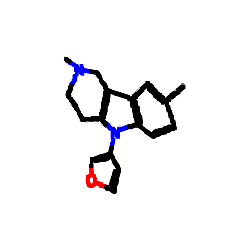 Cc1ccc2c(c1)c1c(n2-c2ccoc2)CCN(C)C1